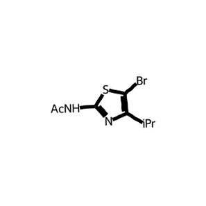 CC(=O)Nc1nc(C(C)C)c(Br)s1